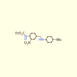 CCOC(=O)Nc1ccc(CNc2ccc(C(C)(C)C)cc2)cc1[N+](=O)[O-]